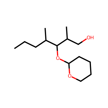 CCCC(C)C(OC1CCCCO1)C(C)CO